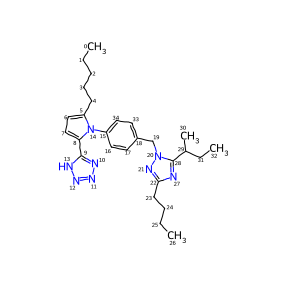 CCCCCc1ccc(-c2nnn[nH]2)n1-c1ccc(Cn2nc(CCCC)nc2C(C)CC)cc1